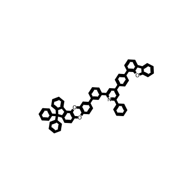 c1ccc(-c2cc(-c3ccc(-c4cccc5c4oc4ccccc45)cc3)cc(-c3cccc(-c4ccc5c(c4)Oc4c(ccc6c4-c4ccccc4C6(c4ccccc4)c4ccccc4)O5)c3)n2)cc1